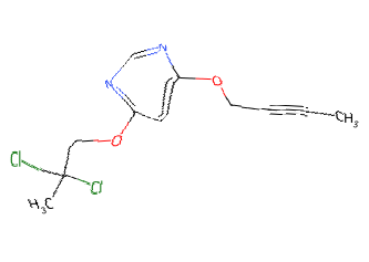 CC#CCOc1cc(OCC(C)(Cl)Cl)ncn1